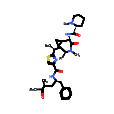 CCN1CCCC[C@@H]1C(=O)N[C@H](C(=O)N(C)[C@H](C[C@@H](OC(C)=O)c1nc(C(=O)N[C@@H](Cc2ccccc2)C[C@H](C)C(=O)OC)cs1)C(C)C)C1CC1